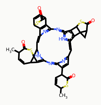 CC1C=CC(C2=CC3=NC/2=N\C2=C4C5C=CC(C)C(=O)SC45C(/C=C4N=C(/N=c5\[nH]/c(c6c5C5SC(=O)C7CC675)=C\3)C3=C\4C4C=CC3C(=O)S4)N2)C(=O)S1